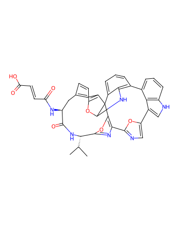 CC(C)[C@@H]1NC(=O)[C@@H](NC(=O)/C=C/C(=O)O)Cc2ccc3c(c2)C24c5cccc(c5NC2O3)-c2cccc3[nH]cc(c23)-c2cnc(o2)-c2nc1oc24